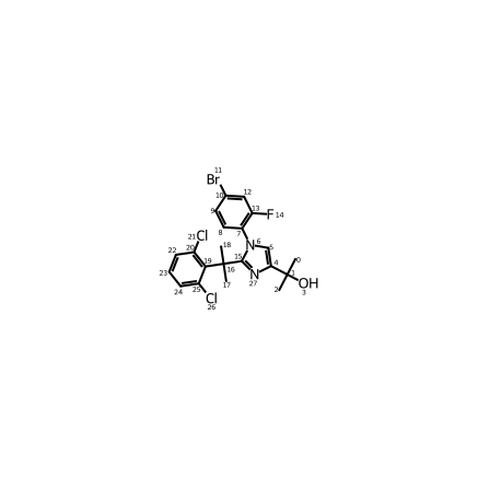 CC(C)(O)c1cn(-c2ccc(Br)cc2F)c(C(C)(C)c2c(Cl)cccc2Cl)n1